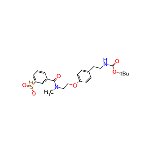 CN(CCOc1ccc(CCNC(=O)OC(C)(C)C)cc1)C(=O)c1cccc([SH](=O)=O)c1